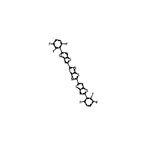 Fc1ccc(F)c(-c2cc3sc(-c4nc5sc(-c6cc7sc(-c8c(F)ccc(F)c8F)cc7s6)nc5s4)cc3s2)c1F